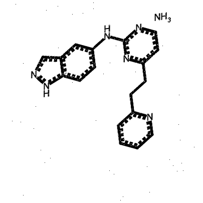 N.c1ccc(CCc2ccnc(Nc3ccc4[nH]ncc4c3)n2)nc1